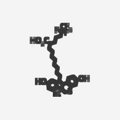 CCC1(c2ccc(O)cc2)CSc2cc(O)ccc2C1CCCCCCCCCC(CCCC(F)(F)C(F)(F)F)C(=O)O